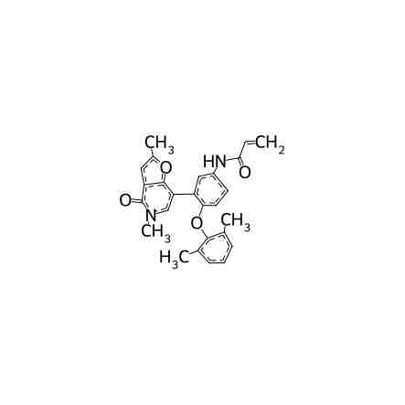 C=CC(=O)Nc1ccc(Oc2c(C)cccc2C)c(-c2cn(C)c(=O)c3cc(C)oc23)c1